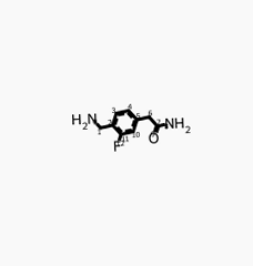 NCc1ccc(CC(N)=O)cc1F